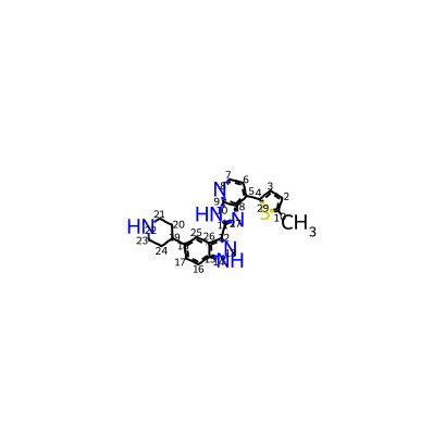 Cc1ccc(-c2ccnc3[nH]c(-c4n[nH]c5ccc(C6CCNCC6)cc45)nc23)s1